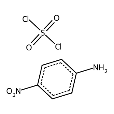 Nc1ccc([N+](=O)[O-])cc1.O=S(=O)(Cl)Cl